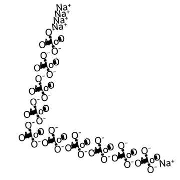 [Na+].[Na+].[Na+].[Na+].[Na+].[O]=[Mo](=[O])([O-])[O-].[O]=[Mo](=[O])([O-])[O-].[O]=[Mo](=[O])([O-])[O-].[O]=[Mo](=[O])([O-])[O-].[O]=[Mo](=[O])([O-])[O-].[O]=[Mo](=[O])([O-])[O-].[O]=[Mo](=[O])([O-])[O-].[O]=[Mo](=[O])([O-])[O-].[O]=[Mo](=[O])([O-])[O-].[O]=[Mo](=[O])([O-])[O-]